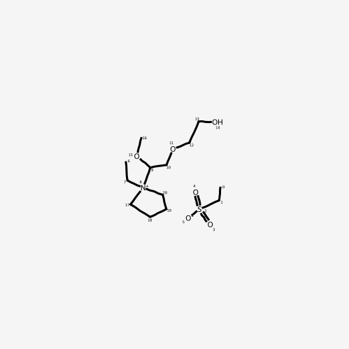 CCS(=O)(=O)[O-].CC[N+]1(C(COCCO)OC)CCCC1